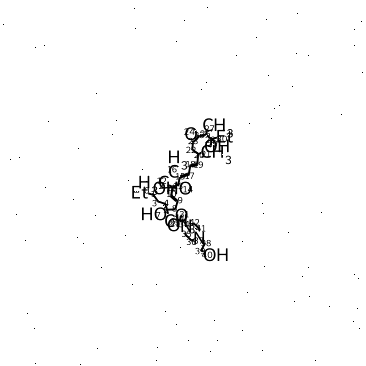 CCC(O)CCC(C)(O)C(/C=C/C(C)C(=O)/C(C)=C/C=C/C(C)CC1OC1C(C)C(O)CC)OC(=O)N1CCN(CCO)CC1